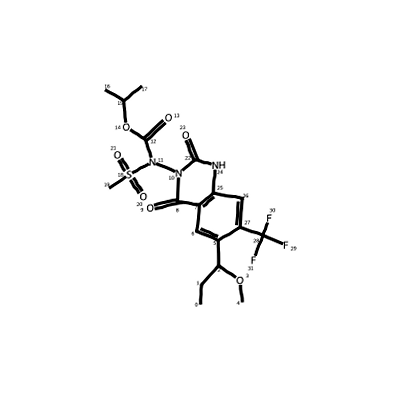 CCC(OC)c1cc2c(=O)n(N(C(=O)OC(C)C)S(C)(=O)=O)c(=O)[nH]c2cc1C(F)(F)F